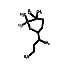 C[Si]1(C)CCC(C(N)CCN)O[Si]1(C)C